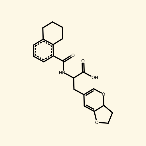 O=C(NC(CC1=COC2CCOC2=C1)C(=O)O)c1cccc2c1CCCC2